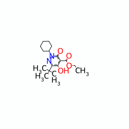 CCOC(=O)c1c(O)c(C(C)(C)C)nn(C2CCCCC2)c1=O